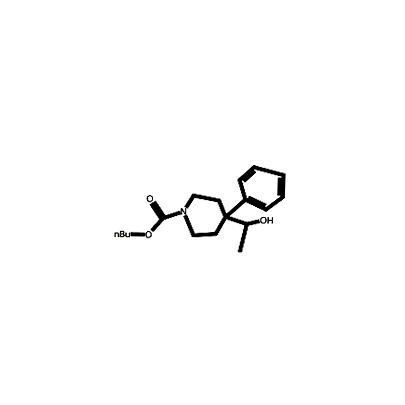 CCCCOC(=O)N1CCC(c2ccccc2)(C(C)O)CC1